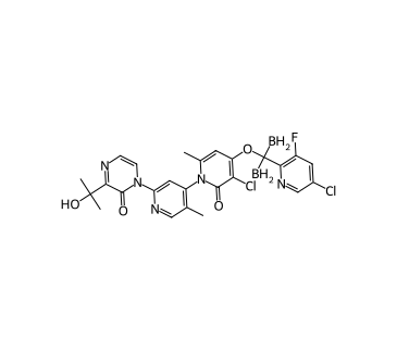 BC(B)(Oc1cc(C)n(-c2cc(-n3ccnc(C(C)(C)O)c3=O)ncc2C)c(=O)c1Cl)c1ncc(Cl)cc1F